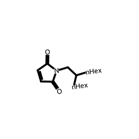 CCCCCCC(CCCCCC)CN1C(=O)C=CC1=O